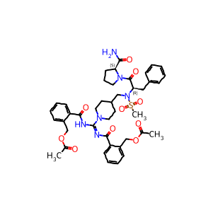 CC(=O)OCc1ccccc1C(=O)N=C(NC(=O)c1ccccc1COC(C)=O)N1CCC(CN([C@H](Cc2ccccc2)C(=O)N2CCC[C@H]2C(N)=O)S(C)(=O)=O)CC1